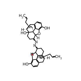 C=CCN1CC[C@]23c4c5ccc(O)c4O[C@@H]2C(=NN=C2CCC4(O)[C@H]6Cc7ccc(O)c8c7[C@@]4(CCN6CC=C)[C@H]2O8)CCC3(O)[C@H]1C5